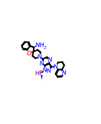 N[C@@H]1c2ccccc2OC12CCN(c1cnc3c(N4CCCc5ncccc54)nn(PI)c3n1)CC2